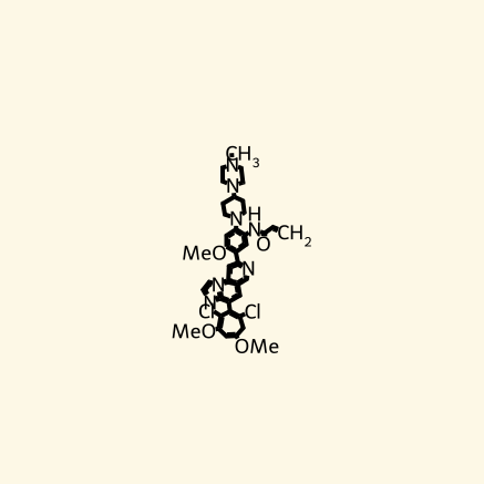 C=CC(=O)Nc1cc(-c2cc3c(cn2)cc(C2=C(Cl)CC(OC)=CC(OC)=C2Cl)c2nccn23)c(OC)cc1N1CCC(N2CCN(C)CC2)CC1